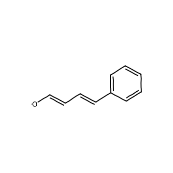 [O]/C=C/C=C/c1ccccc1